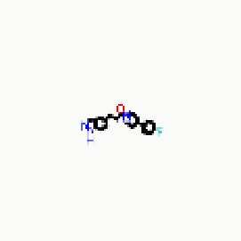 O=C([CH]Cc1ccc2[nH]ncc2c1)N1CCC(c2ccc(F)cc2)CC1